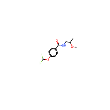 COC(C)CNC(=O)c1ccc(OC(F)F)cc1